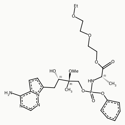 CCOCCOCCOC(=O)[C@H](C)NP(=O)(OC[C@@](C)(OC)[C@@H](O)Cc1ccc2c(N)ncnn12)Oc1ccccc1